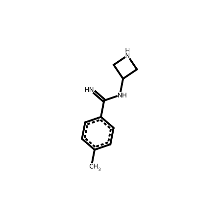 Cc1ccc(C(=N)NC2CNC2)cc1